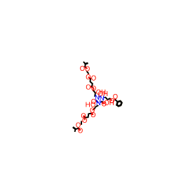 C=C(C)C(=O)OCCOC(=O)CCC(=O)OCC(O)CN1C(=O)N(CC(O)COC(=O)CCC(=O)OCCOC(=O)C(=C)C)C(O)N(CC(O)COC(=O)c2ccccc2)C1=O